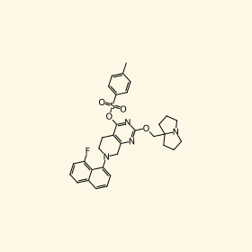 Cc1ccc(S(=O)(=O)Oc2nc(OCC34CCCN3CCC4)nc3c2CCN(c2cccc4cccc(F)c24)C3)cc1